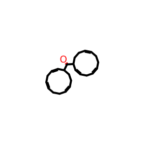 O=C(C1C=CCC=CCCC=CCC1)C1C=CCC=CCCC=CCC1